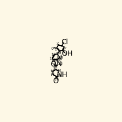 Cc1cc(Cl)cc(O)c1-c1ccc2oc([C@@H]3CCC(=O)NC3)nc2n1